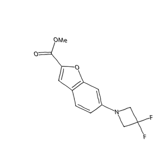 COC(=O)c1cc2ccc(N3CC(F)(F)C3)cc2o1